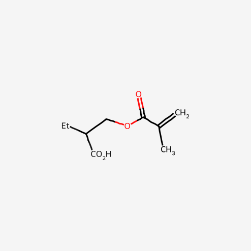 C=C(C)C(=O)OCC(CC)C(=O)O